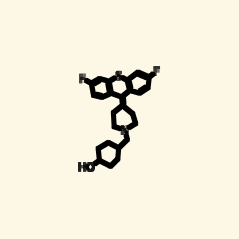 OC1CCC(CN2CCC(=C3c4ccc(F)cc4Sc4cc(F)ccc43)CC2)CC1